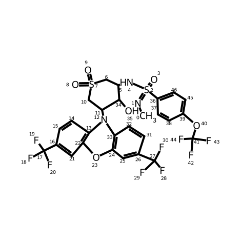 CN=S(=O)(NC1CS(=O)(=O)CC(N2c3ccc(C(F)(F)F)cc3Oc3cc(C(F)(F)F)ccc32)C1O)c1ccc(OC(F)(F)F)cc1